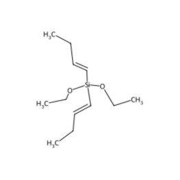 CCC=C[Si](C=CCC)(OCC)OCC